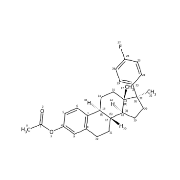 CC(=O)Oc1ccc2c(c1)CC[C@@H]1[C@@H]2CC[C@@]2(C)[C@H]1CC[C@]2(C)c1ccc(F)cc1